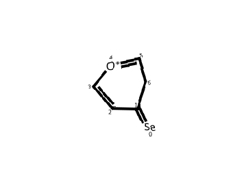 [Se]=C1C=C[O+]=CC1